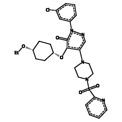 CCO[C@H]1CC[C@@H](Oc2c(N3CCN(S(=O)(=O)c4ccccn4)CC3)cnn(-c3cccc(Cl)c3)c2=O)CC1